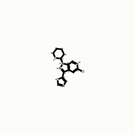 Clc1cc2c(-c3cnco3)nn(C3CCCCO3)c2cn1